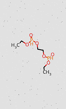 CCO[PH](=O)OCCO[PH](=O)OCC